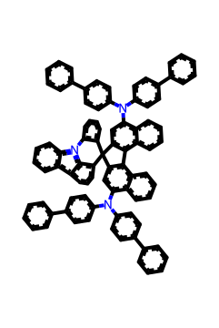 c1ccc(-c2ccc(N(c3ccc(-c4ccccc4)cc3)c3cc4c(c5ccccc35)-c3c(cc(N(c5ccc(-c6ccccc6)cc5)c5ccc(-c6ccccc6)cc5)c5ccccc35)C43c4ccccc4-n4c5ccccc5c5cccc3c54)cc2)cc1